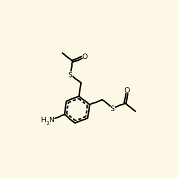 CC(=O)SCc1ccc(N)cc1CSC(C)=O